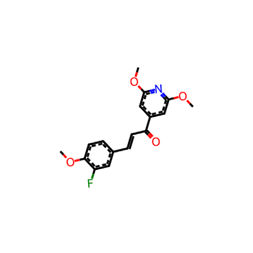 COc1cc(C(=O)/C=C/c2ccc(OC)c(F)c2)cc(OC)n1